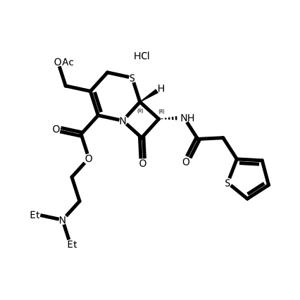 CCN(CC)CCOC(=O)C1=C(COC(C)=O)CS[C@@H]2[C@H](NC(=O)Cc3cccs3)C(=O)N12.Cl